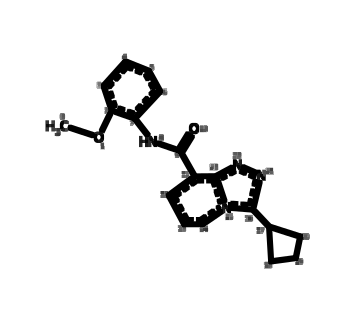 COc1ccccc1NC(=O)c1cccn2c(C3CCC3)nnc12